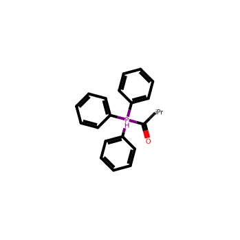 [CH2]C(C)C(=O)[PH](c1ccccc1)(c1ccccc1)c1ccccc1